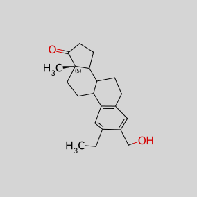 CCc1cc2c(cc1CO)CCC1C2CC[C@]2(C)C(=O)CCC12